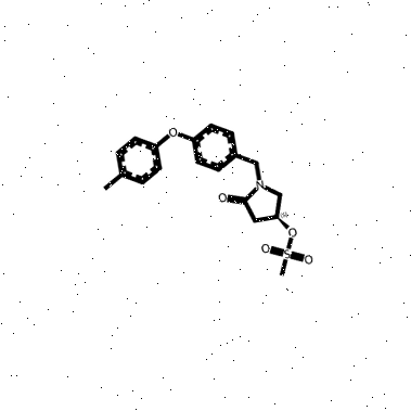 Cc1ccc(Oc2ccc(CN3C[C@@H](OS(C)(=O)=O)CC3=O)cc2)cc1